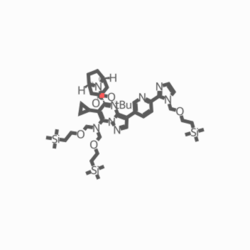 CC(C)(C)OC(=O)N1[C@@H]2CC[C@H]1C[C@@H](c1nc3c(-c4ccc(-c5nccn5COCC[Si](C)(C)C)nc4)cnn3c(N(COCC[Si](C)(C)C)COCC[Si](C)(C)C)c1C1CC1)C2